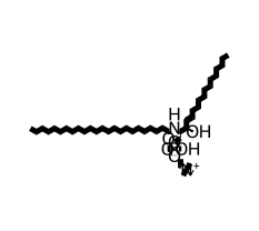 CCCCCCCCCCCC/C=C/[C@@H](O)[C@H](COP(=O)(O)OCC[N+](C)(C)C)NC(=O)CCCCCCCCCCCCCCCCCCCCCCC